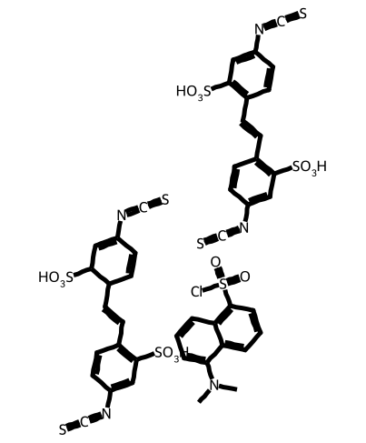 CN(C)c1cccc2c(S(=O)(=O)Cl)cccc12.O=S(=O)(O)c1cc(N=C=S)ccc1C=CC1C=CC(N=C=S)=CC1S(=O)(=O)O.O=S(=O)(O)c1cc(N=C=S)ccc1C=Cc1ccc(N=C=S)cc1S(=O)(=O)O